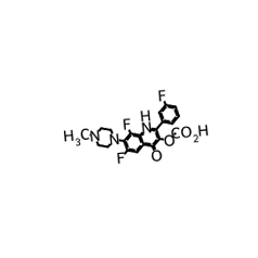 CN1CCN(c2c(F)cc3c(=O)c(OC(=O)O)c(-c4cccc(F)c4)[nH]c3c2F)CC1